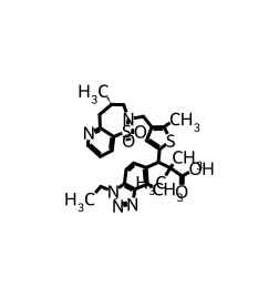 CCn1nnc2c(C)c(C(c3cc(CN4C[C@@H](C)Cc5ncccc5S4(=O)=O)c(C)s3)C(C)(C)C(=O)O)ccc21